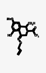 C=CCON=C1CN(C(=O)C(F)(F)F)C(C(=O)O)c2cc(OC)nc(O)c21